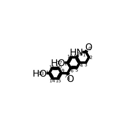 O=C1CCc2cc(C(=O)c3ccc(O)cc3)c(O)cc2N1